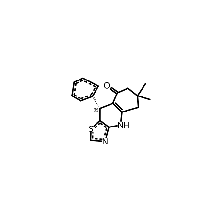 CC1(C)CC(=O)C2=C(C1)Nc1ncsc1[C@@H]2c1ccccc1